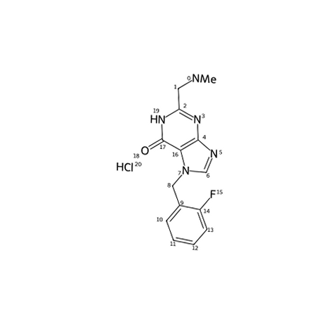 CNCc1nc2ncn(Cc3ccccc3F)c2c(=O)[nH]1.Cl